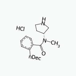 CCCCCCCCCCc1ccccc1C(=O)N(C)[C@@H]1CCNC1.Cl